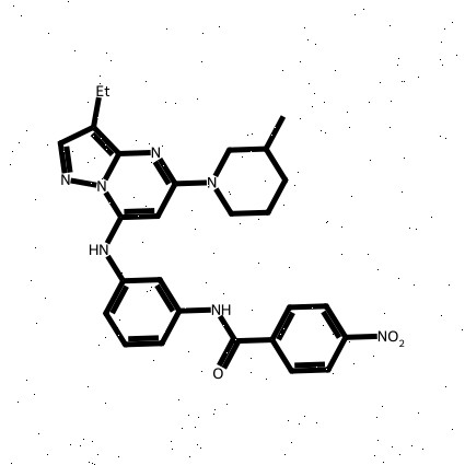 CCc1cnn2c(Nc3cccc(NC(=O)c4ccc([N+](=O)[O-])cc4)c3)cc(N3CCCC(C)C3)nc12